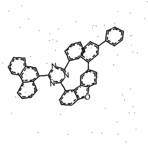 c1ccc(-c2cccc(-c3ccc4oc5cccc(-c6nc(-c7ccccc7)nc(-c7cc8ccccc8c8ccccc78)n6)c5c4c3)c2)cc1